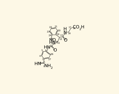 N=C(N)c1ccc(NC(=O)NCC(C(=O)NCCC(=O)O)c2ccccc2[N+](=O)[O-])cc1